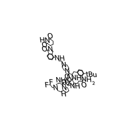 CC(C)(C)c1ccc(CC(NC(=O)C(CCC(N)=O)NC(=O)[C@@H]2CC[C@@H]3CCN(CC(F)F)C[C@H](N)C(=O)N32)C(=O)N2CCN(CCNc3cccc4c3CN(C3CCC(=O)NC3=O)C4=O)CC2)cc1